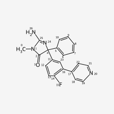 CN1C(=O)C(c2ccccc2)(c2ccc(F)c(-c3ccncc3)c2)N=C1N